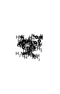 CC(C)C[C@H](NC(=O)[C@@H](COC(C)(C)C)NC(=O)[C@H](Cc1ccc(O)cc1)NC(=O)[C@H](CO)NC(=O)[C@H](Cc1c[nH]c2ccccc12)NC(=O)[C@H](Cc1c[nH]cn1)NC(=O)[C@@H]1CCC(=O)N1)C(=O)N[C@@H](CCCNC(=N)N)C(=O)N1CCC[C@H]1C(=O)NNC(N)=O.N#Cc1ccc(C(c2ccc(C#N)cc2)n2cncn2)cc1